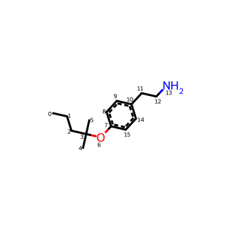 CCCC(C)(C)Oc1ccc(CCN)cc1